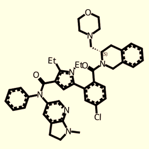 CCc1c(C(=O)N(c2ccccc2)c2cnc3c(c2)CCN3C)cc(-c2cc(Cl)ccc2C(=O)N2Cc3ccccc3C[C@H]2CN2CCOCC2)n1CC